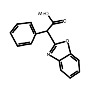 COC(=O)C(c1ccccc1)c1nc2ccccc2o1